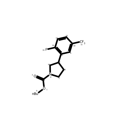 CCCCOC(=O)N1CCC(c2cc(C(F)(F)F)ccc2F)C1